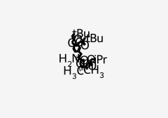 CC(C)OC(=O)OC(C)[C@H](C)OC(=O)[C@@H](N)Cc1ccc(OC(=O)CC(C)(C)C)c(OC(=O)CC(C)(C)C)c1